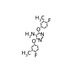 Cc1cc(Oc2ncnc(Oc3ccc(F)c(C)c3)c2N)ccc1F